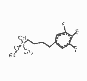 CCO[Si](C)(C)CCCCc1cc(F)c(F)c(F)c1